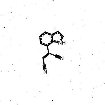 N#CC=C(C#N)c1cccc2cc[nH]c12